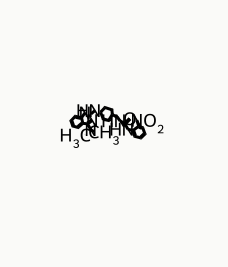 CN(C)c1nc(NC2CCC(CNC(=O)Nc3ccccc3[N+](=O)[O-])CC2)nc2ccccc12